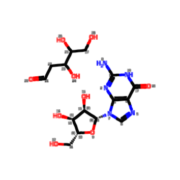 Nc1nc2c(ncn2[C@@H]2O[C@H](CO)[C@@H](O)[C@H]2O)c(=O)[nH]1.O=CCC(O)C(O)CO